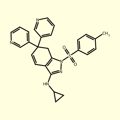 Cc1ccc(S(=O)(=O)n2nc(NC3CC3)c3c2CC(c2cccnc2)(c2cccnc2)C=C3)cc1